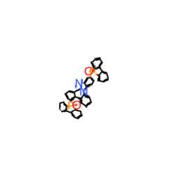 O=P1(c2ccc3c(c2)nc2c4cccc(P5(=O)c6ccccc6-c6ccccc65)c4c4ccccc4n32)c2ccccc2-c2ccccc21